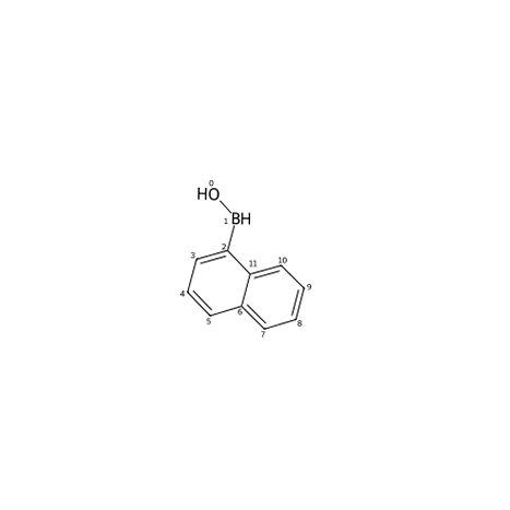 OBc1cccc2ccccc12